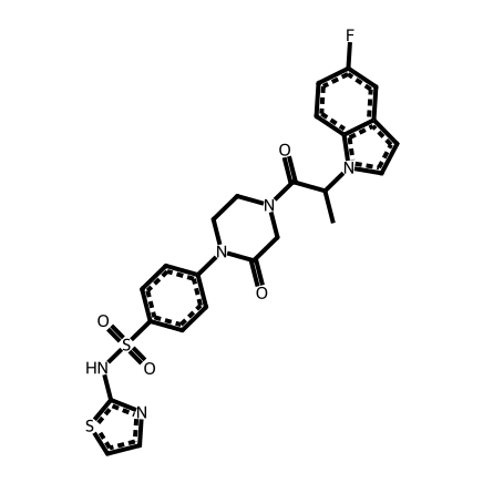 CC(C(=O)N1CCN(c2ccc(S(=O)(=O)Nc3nccs3)cc2)C(=O)C1)n1ccc2cc(F)ccc21